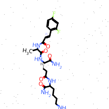 CC(NC(=O)/C=C/c1ccc(F)cc1F)C(=O)N[C@@H](CCC(=O)NC(CCCCN)C(N)=O)C(N)=O